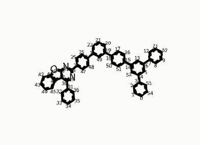 c1ccc(-c2cc(-c3ccccc3)cc(-c3ccc(-c4cccc(-c5ccc(-c6nc(-c7ccccc7)c7c(n6)oc6ccccc67)cc5)c4)cc3)c2)cc1